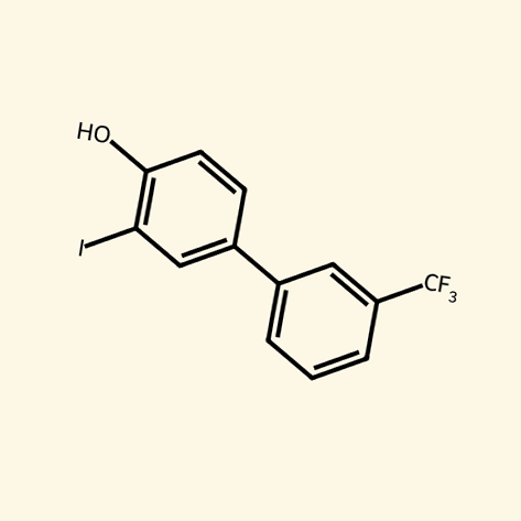 Oc1ccc(-c2cccc(C(F)(F)F)c2)cc1I